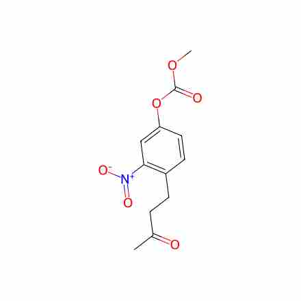 COC(=O)Oc1ccc(CCC(C)=O)c([N+](=O)[O-])c1